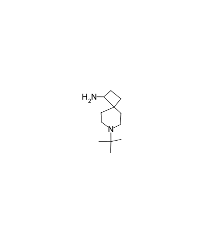 CC(C)(C)N1CCC2(CCC2N)CC1